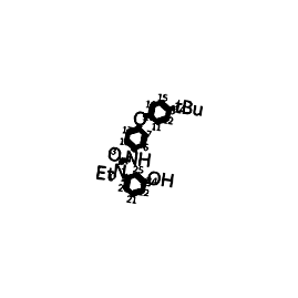 CCN(C(=O)Nc1ccc(Oc2ccc(C(C)(C)C)cc2)cc1)c1cccc(O)c1